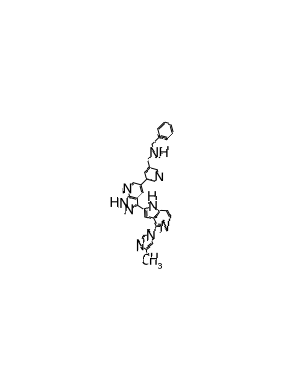 Cc1cn(-c2nccc3[nH]c(-c4n[nH]c5ncc(-c6cncc(CNCc7ccccc7)c6)cc45)cc23)cn1